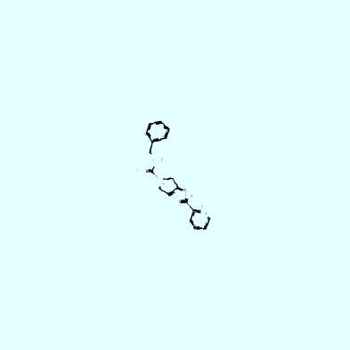 O=C(OCc1ccccc1)N1Cc2nc(-c3ccccn3)oc2C1